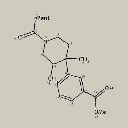 CCCCCC(=O)N1CCC(C)(c2cccc(C(=O)OC)c2)C(C)C1